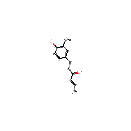 CCCC=CC(=O)CCc1ccc(O)c(OC)c1